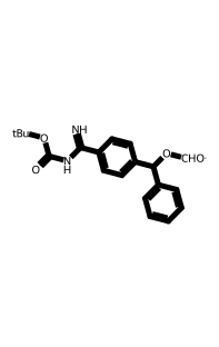 CC(C)(C)OC(=O)NC(=N)c1ccc(C(O[C]=O)c2ccccc2)cc1